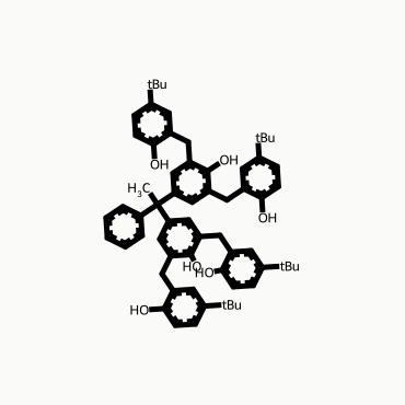 CC(C)(C)c1ccc(O)c(Cc2cc(C(C)(c3ccccc3)c3cc(Cc4cc(C(C)(C)C)ccc4O)c(O)c(Cc4cc(C(C)(C)C)ccc4O)c3)cc(Cc3cc(C(C)(C)C)ccc3O)c2O)c1